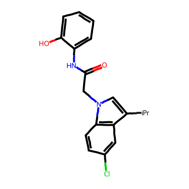 CC(C)c1cn(CC(=O)Nc2ccccc2O)c2ccc(Cl)cc12